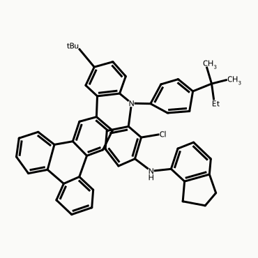 CCC(C)(C)c1ccc(N(c2ccc(C(C)(C)C)cc2-c2ccc3c4ccccc4c4ccccc4c3c2)c2cccc(Nc3cccc4c3CCC4)c2Cl)cc1